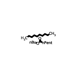 CCCCCC(=O)OCCCC.CCCCCCCCCC